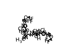 Cc1nn(CCc2nn(C)cc2S(=O)(=O)NC(=O)c2ccc(-n3ccc(O[C@H]4C[C@H]4C(F)(F)F)n3)nc2Cl)cc1S(=O)(=O)NC(=O)c1ccc(-n2ccc(O[C@@H]3C[C@@H]3C(F)(F)F)n2)nc1Cl